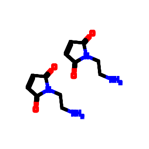 NCCN1C(=O)C=CC1=O.NCCN1C(=O)C=CC1=O